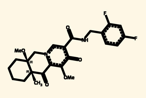 COc1c2n(cc(C(=O)NCc3ccc(F)cc3F)c1=O)C[C@@]1(OC)CCCC[C@@]1(C)C2=O